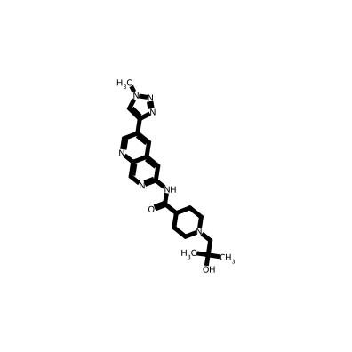 Cn1cc(-c2cnc3cnc(NC(=O)C4CCN(CC(C)(C)O)CC4)cc3c2)nn1